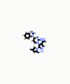 Cc1cc(C)n(-c2cc(C(C)Nc3nccc(-n4cnc5ccccc54)n3)c[nH]2)c1